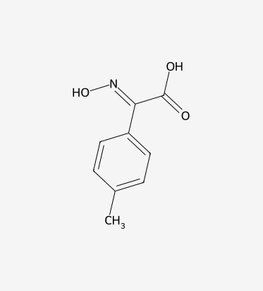 Cc1ccc(/C(=N\O)C(=O)O)cc1